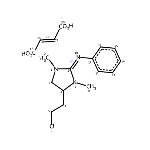 CN1CC(CCCl)N(C)/C1=N\c1ccccc1.O=C(O)/C=C/C(=O)O